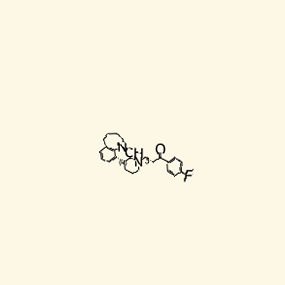 CN1CCCCc2cccc([C@H]3CCCN(CCC(=O)c4ccc(F)cc4)C3)c21